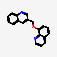 c1ccc2ncc(COc3cccc4cccnc34)cc2c1